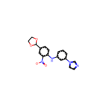 O=[N+]([O-])c1cc(C2OCCO2)ccc1Nc1cccc(-n2ccnc2)c1